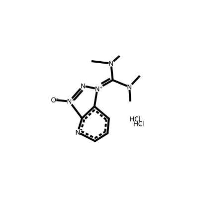 CN(C)C(N(C)C)=[N+]1N=[N+]([O-])c2ncccc21.Cl.Cl